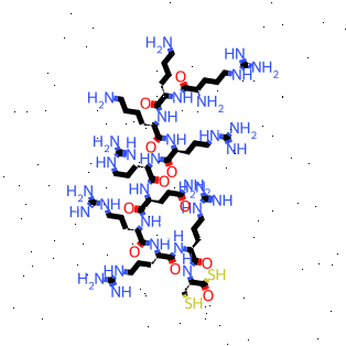 N=C(N)NCCC[C@H](NC(=O)[C@H](CCCNC(=N)N)NC(=O)[C@H](CCCNC(=N)N)NC(=O)[C@H](CCC(N)=O)NC(=O)[C@H](CCCNC(=N)N)NC(=O)[C@H](CCCNC(=N)N)NC(=O)[C@H](CCCCN)NC(=O)[C@H](CCCCN)NC(=O)[C@@H](N)CCCNC(=N)N)C(=O)N[C@@H](CS)C(=O)S